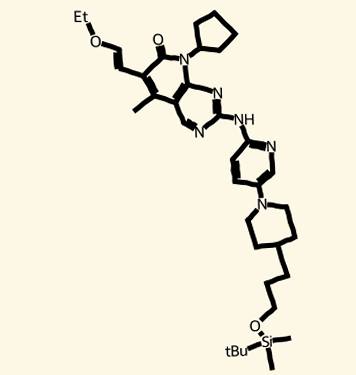 CCOC=Cc1c(C)c2cnc(Nc3ccc(N4CCC(CCCO[Si](C)(C)C(C)(C)C)CC4)cn3)nc2n(C2CCCC2)c1=O